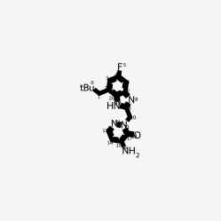 CC(C)(C)Cc1cc(F)cc2nc(Cn3nccc(N)c3=O)[nH]c12